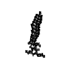 Cc1cc(C)[n+](CC(F)(F)C(F)(F)C(F)(F)C(F)(F)C(F)(F)C(F)(F)C(F)(F)C(F)(F)C(F)(F)C(F)(F)C(F)(F)F)c(C)c1